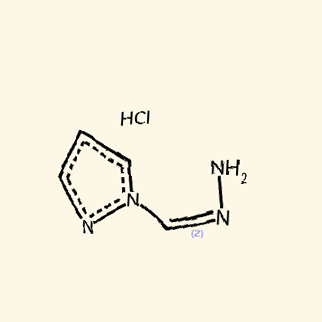 Cl.N/N=C\n1cccn1